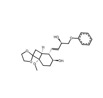 CO[C@@]12CC[C@H](O)[C@@H](/C=C/[C@@H](O)COc3ccccc3)[C@@H]1CC21OCCO1